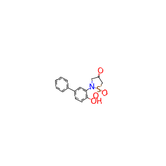 O=C1CN(c2cc(-c3ccccc3)ccc2O)S(=O)(=O)C1